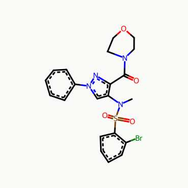 CN(c1cn(-c2ccccc2)nc1C(=O)N1CCOCC1)S(=O)(=O)c1ccccc1Br